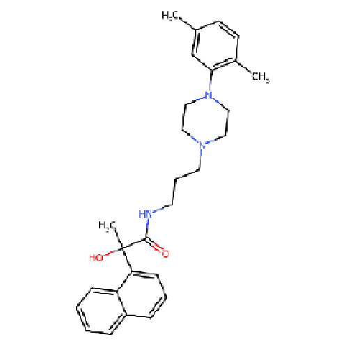 Cc1ccc(C)c(N2CCN(CCCNC(=O)C(C)(O)c3cccc4ccccc34)CC2)c1